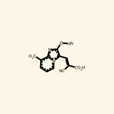 CCCOc1nc2c(C)cccn2c1/C=C(\C#N)C(=O)O